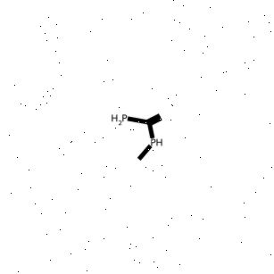 C=C(P)PC